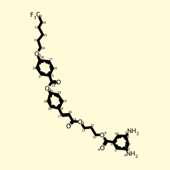 Nc1cc(N)cc(C(=O)OCCCOC(=O)/C=C/c2ccc(OC(=O)c3ccc(OCCCCCC(F)(F)F)cc3)cc2)c1